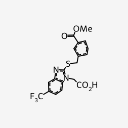 COC(=O)c1cccc(CSc2nc3cc(C(F)(F)F)ccc3n2CC(=O)O)c1